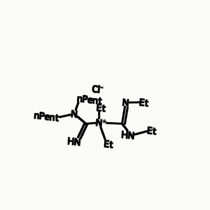 CCCCCN(CCCCC)C(=N)[N+](CC)(CC)C(=NCC)NCC.[Cl-]